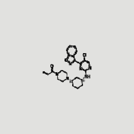 C=CC(=O)N1CCN([C@H]2CCC[C@@H](Nc3ncc(Cl)c(-c4noc5ccccc45)n3)C2)CC1